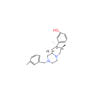 Cc1cccc(CN2CCN3C[C@H](C)[C@](C)(c4cccc(O)c4)C[C@@H]3C2)c1